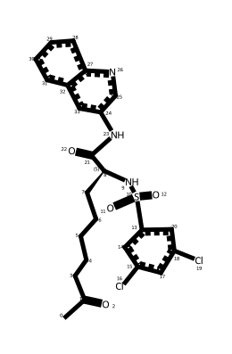 CC(=O)CCCCC[C@H](NS(=O)(=O)c1cc(Cl)cc(Cl)c1)C(=O)Nc1cnc2ccccc2c1